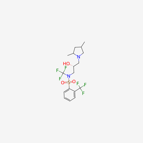 CC1CC(C)N(C[C@@H](O)CN(C(F)(F)F)S(=O)(=O)c2ccccc2C(F)(F)F)C1